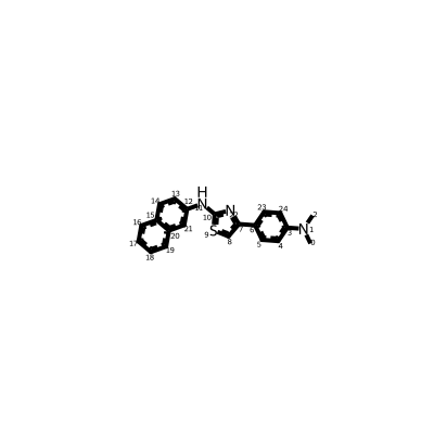 CN(C)c1ccc(-c2csc(Nc3ccc4ccccc4c3)n2)cc1